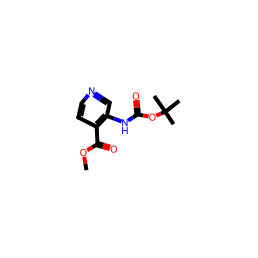 COC(=O)c1ccncc1NC(=O)OC(C)(C)C